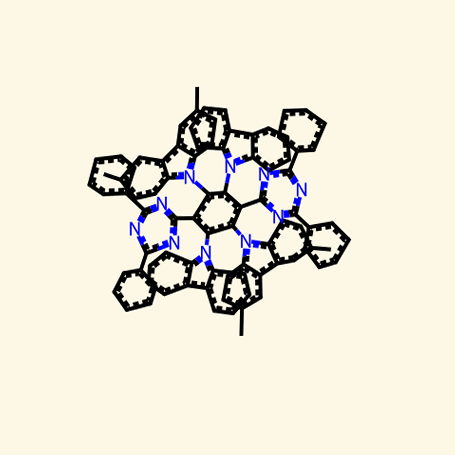 Cc1ccc2c(c1)c1cc(C)ccc1n2-c1c(-c2nc(-c3ccccc3)nc(-c3ccccc3)n2)c(-n2c3ccccc3c3ccccc32)c(-n2c3ccc(C)cc3c3cc(C)ccc32)c(-c2nc(-c3ccccc3)nc(-c3ccccc3)n2)c1-n1c2ccccc2c2ccccc21